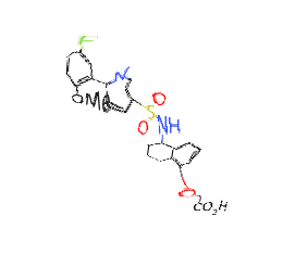 COc1ccc(F)cc1-c1ccc(S(=O)(=O)NC2CCCc3c(OCC(=O)O)cccc32)cn1